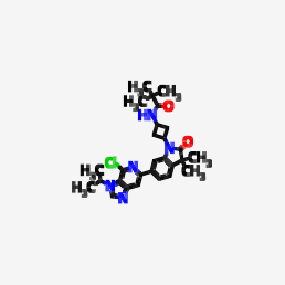 CC(C)n1cnc2cc(-c3ccc4c(c3)N(C3CC(NC(=O)C(C)(C)C)C3)C(=O)C4(C)C)nc(Cl)c21